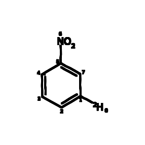 [2H]c1cc[c]c([N+](=O)[O-])c1